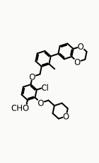 Cc1c(COc2ccc(C=O)c(OCC3CCOCC3)c2Cl)cccc1-c1ccc2c(c1)OCCO2